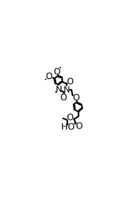 COc1cc2c(=O)n(CCOc3ccc(CC(OC(C)C)C(=O)O)cc3)c(=O)n(C)c2cc1OC